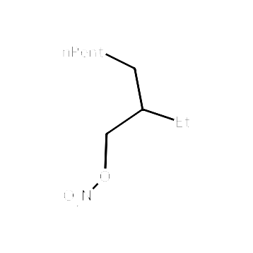 CCCCCCC(CC)CO[N+](=O)[O-]